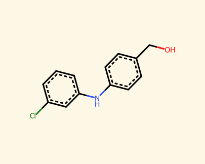 OCc1ccc(Nc2cccc(Cl)c2)cc1